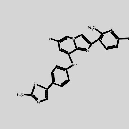 Cc1ncc(-c2ccc(Nc3cc(F)cn4cc(-c5ccc(F)cc5C)nc34)cc2)o1